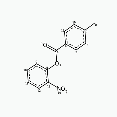 Cc1ccc(C(=O)Oc2ccccc2[N+](=O)[O-])cc1